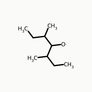 CCC(C)C([O])C(C)CC